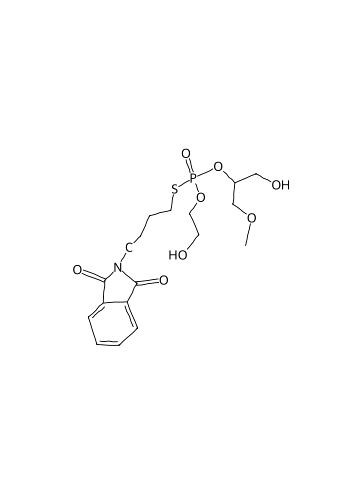 COCC(CO)OP(=O)(OCCO)SCCCCN1C(=O)c2ccccc2C1=O